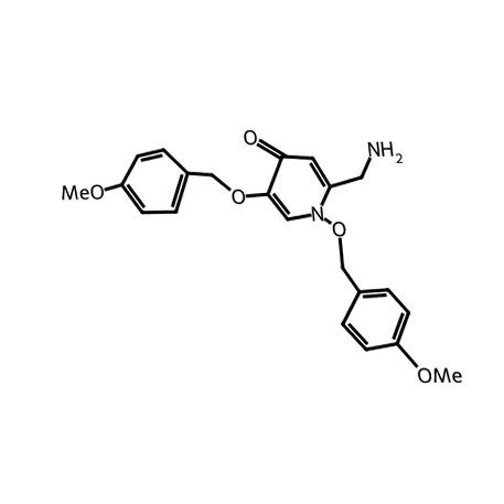 COc1ccc(COc2cn(OCc3ccc(OC)cc3)c(CN)cc2=O)cc1